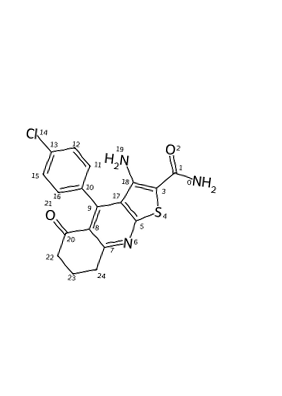 NC(=O)c1sc2nc3c(c(-c4ccc(Cl)cc4)c2c1N)C(=O)CCC3